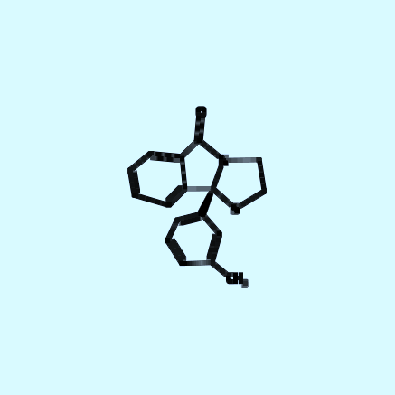 Cc1cccc([C@]23SCCN2C(=O)c2ccccc23)c1